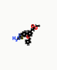 CCOC(=O)CCc1ccc(OCC2CCCC2)c(-c2ccc3nc(N)sc3c2)c1